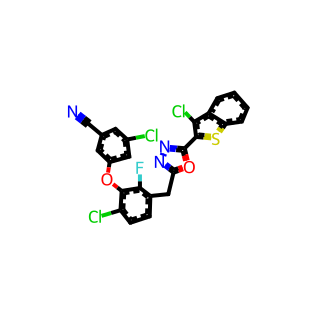 N#Cc1cc(Cl)cc(Oc2c(Cl)ccc(Cc3nnc(-c4sc5ccccc5c4Cl)o3)c2F)c1